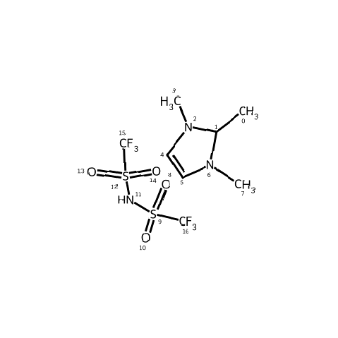 CC1N(C)C=CN1C.O=S(=O)(NS(=O)(=O)C(F)(F)F)C(F)(F)F